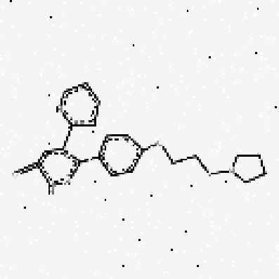 O=c1cc(-c2ccccn2)c(-c2ccc(OCCCN3CCCC3)cc2)n[nH]1